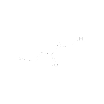 CCOC(=O)C=CBr